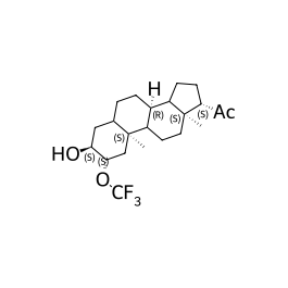 CC(=O)[C@H]1CCC2[C@@H]3CCC4C[C@H](O)[C@@H](OC(F)(F)F)C[C@]4(C)C3CC[C@@]21C